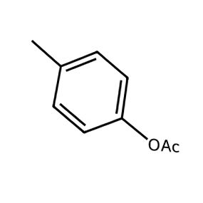 [CH2]C(=O)Oc1ccc(C)cc1